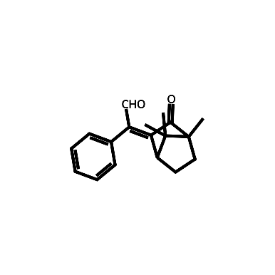 CC12CCC(C(=C(C=O)c3ccccc3)C1=O)C2(C)C